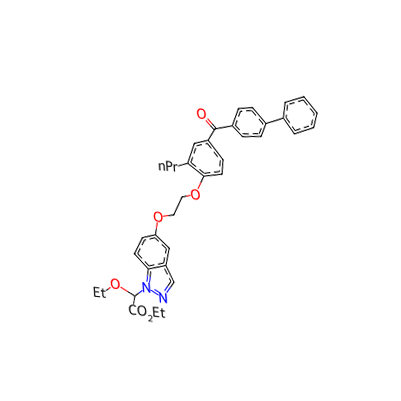 CCCc1cc(C(=O)c2ccc(-c3ccccc3)cc2)ccc1OCCOc1ccc2c(cnn2C(OCC)C(=O)OCC)c1